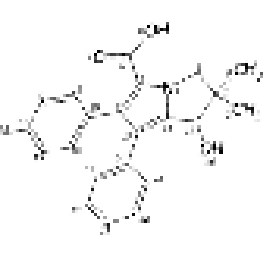 CC1(C)Cn2c(C(=O)O)c(-c3ccc(Cl)cc3)c(-c3ccccc3)c2C1O